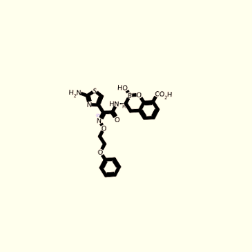 Nc1nc(/C(=N/OCCOc2ccccc2)C(=O)N[C@H]2Cc3cccc(C(=O)O)c3OB2O)cs1